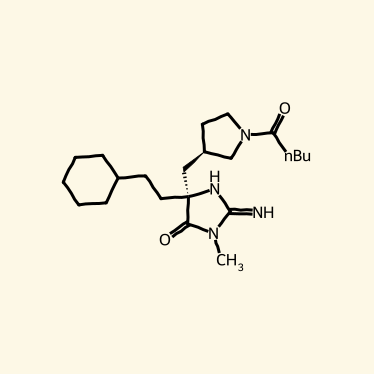 CCCCC(=O)N1CC[C@H](C[C@]2(CCC3CCCCC3)NC(=N)N(C)C2=O)C1